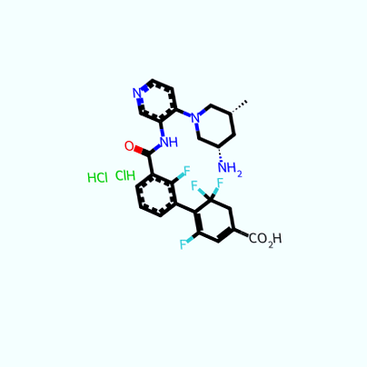 C[C@@H]1C[C@H](N)CN(c2ccncc2NC(=O)c2cccc(C3=C(F)C=C(C(=O)O)CC3(F)F)c2F)C1.Cl.Cl